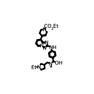 CCOC(=O)N1CC=C(c2cccn3nc(Nc4ccc(C(O)N(C)CC5CCN(CC)C5)cc4)nc23)CC1